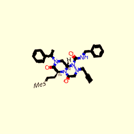 C#CCN1CC(=O)N2[C@@H](CCSC)C(=O)N(C(C)c3ccccc3)C[C@@H]2N1C(=O)NCc1ccccc1